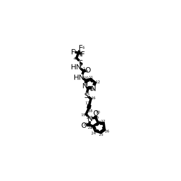 O=C(NSCC(F)(F)F)Nc1ccnc(SCC#CCN2C(=O)c3ccccc3C2=O)n1